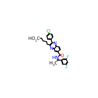 C[C@@H](NC(=O)c1ccc2nc(-c3ccc(Cl)cc3)c(CCCCC(=O)O)nc2c1)c1cc(F)cc(F)c1